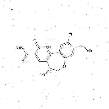 CCCCOc1cc2c(cc1Cl)-c1[nH]c(=O)c(C(=O)OC)cc1[C@H](C(C)C)CO2